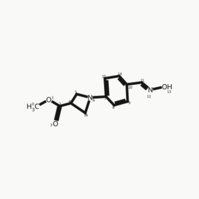 COC(=O)C1CN(c2ccc(C=NO)cc2)C1